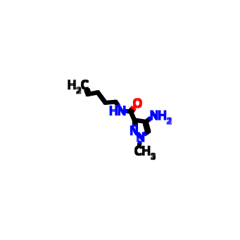 C=CCCCNC(=O)c1nn(C)cc1N